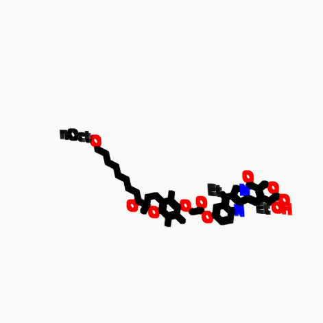 CCCCCCCCOCCCCCCCCC(=O)C1(C)CCc2c(C)c(OCC(=O)Oc3ccc4nc5c(c(CC)c4c3)Cn3c-5cc4c(c3=O)COC(=O)[C@]4(O)CC)c(C)c(C)c2O1